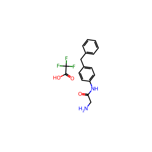 NCC(=O)Nc1ccc(Cc2ccccc2)cc1.O=C(O)C(F)(F)F